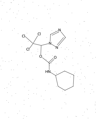 O=C(NC1CCCCC1)OC(n1cncn1)C(Cl)(Cl)Cl